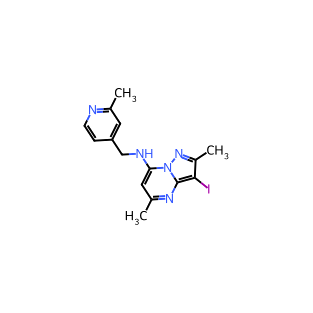 Cc1cc(CNc2cc(C)nc3c(I)c(C)nn23)ccn1